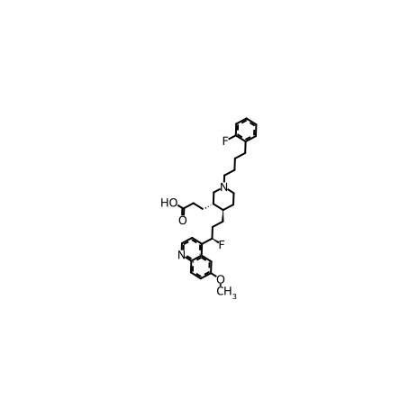 COc1ccc2nccc([C@H](F)CC[C@@H]3CCN(CCCCc4ccccc4F)C[C@H]3CCC(=O)O)c2c1